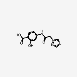 O=C(Cn1cncn1)Nc1ccc(C(=O)O)c(O)c1